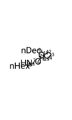 CCCCCCCCCCCOC1(CCOCCNCCCCCC)C=CC=CC1